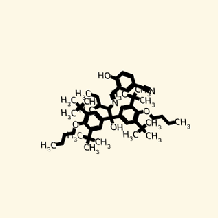 CCCCOc1c(C(C)(C)C)cc(C(O)(c2cc(C(C)(C)C)c(OCCCC)c(C(C)(C)C)c2)C(N=Cc2cc(C#N)ccc2O)C(C)CC)cc1C(C)(C)C